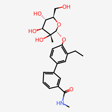 CCc1cc(-c2cccc(C(=O)NC)c2)ccc1O[C@H]1O[C@H](CO)[C@@H](O)[C@H](O)[C@@]1(C)O